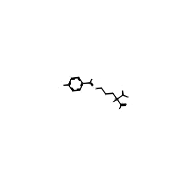 C/C(=N\CCCC(N)(C(=O)O)C(F)F)c1ccc(C)cc1